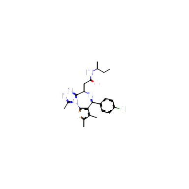 CCC(C)NC(=O)CC1N=C(c2ccc(Cl)cc2)c2c(sc(C)c2C)-n2c(C)nnc21